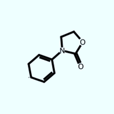 O=C1OCCN1C1=CC[CH]C=C1